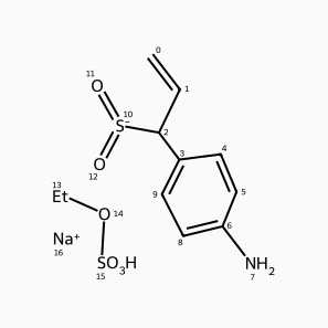 C=CC(c1ccc(N)cc1)[S-](=O)=O.CCOS(=O)(=O)O.[Na+]